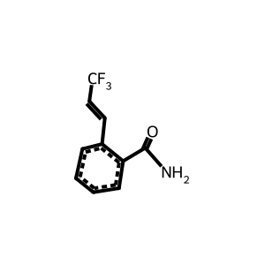 NC(=O)c1ccccc1C=CC(F)(F)F